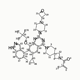 C=C(F)C(=O)N1CC2(CCN(c3nc(N4CCN(C5COC5)CC4)nc4c(OCC(F)(F)F)c(-c5c(C)ccc6[nH]ncc56)c(C5CC5)cc34)CC2)C1